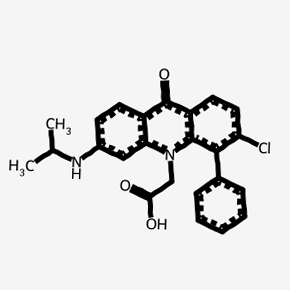 CC(C)Nc1ccc2c(=O)c3ccc(Cl)c(-c4ccccc4)c3n(CC(=O)O)c2c1